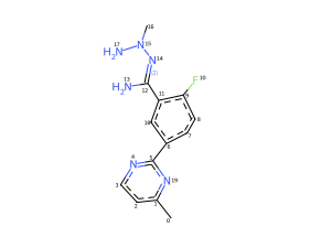 Cc1ccnc(-c2ccc(F)c(/C(N)=N/N(C)N)c2)n1